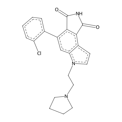 O=C1NC(=O)c2c1c(-c1ccccc1Cl)cc1c2ccn1CCN1CCCC1